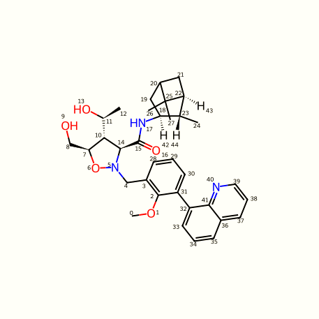 COc1c(CN2O[C@@H](CO)[C@H]([C@H](C)O)[C@H]2C(=O)N[C@H]2CC3C[C@@H]([C@@H]2C)C3(C)C)cccc1-c1cccc2cccnc12